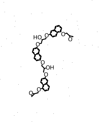 OC(COc1ccc2ccc(OCC(O)COc3ccc4c(OCC5CO5)cccc4c3)cc2c1)COc1ccc2c(OCC3CO3)cccc2c1